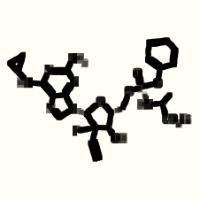 C#C[C@@]1(F)[C@H](O)[C@@H](CO[P@](=O)(N[C@@H](C)C(=O)OCC)Oc2ccccc2)O[C@H]1n1cnc2c(NC3CC3)nc(N)nc21